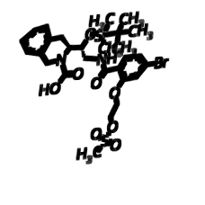 CC(C)(C)[Si](C)(C)O[C@H](CNC(=O)c1ccc(Br)cc1OCCOS(C)(=O)=O)[C@@H]1Cc2ccccc2CN1C(=O)O